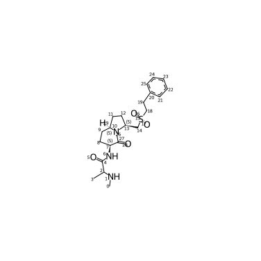 CNC(C)C(=O)N[C@H]1CC[C@H]2CC[C@@H](CS(=O)(=O)CCc3ccccc3)N2C1=O